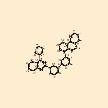 c1ccc(-c2nc(-c3cccc(-c4cccc(-c5cccc6c5ccc5cccnc56)c4)c3)nc3ccccc23)cc1